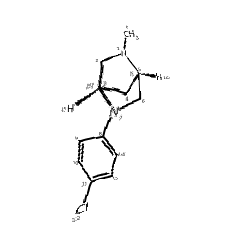 CN1C[C@@H]2C[C@H]1CN2c1ccc(Cl)cc1